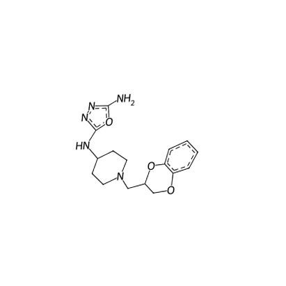 Nc1nnc(NC2CCN(CC3COc4ccccc4O3)CC2)o1